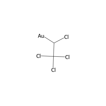 Cl[CH]([Au])C(Cl)(Cl)Cl